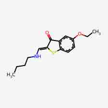 CCCCNC=C1Sc2ccc(OCC)cc2C1=O